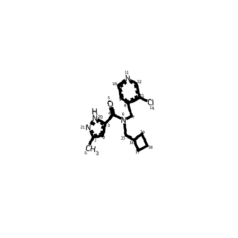 Cc1cc(C(=O)N(Cc2ccncc2Cl)CC2CCC2)[nH]n1